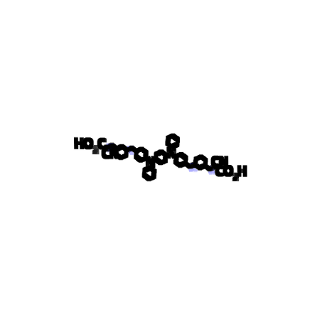 N#C/C(=C\C1=CC(=C/c2ccc(N(c3ccccc3)c3ccc(N(C4=CCC(/C=C5C=C(/C=C(\C#N)C(=O)O)CCC/5)C=C4)c4ccccc4)cc3)cc2)/CCC1)C(=O)O